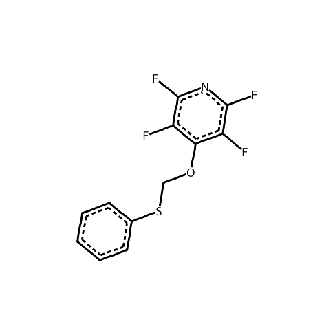 Fc1nc(F)c(F)c(OCSc2ccccc2)c1F